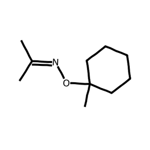 CC(C)=NOC1(C)CCCCC1